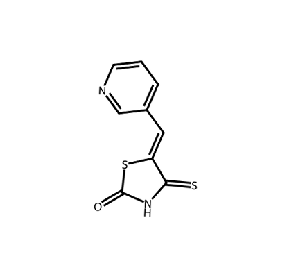 O=C1NC(=S)C(=Cc2cccnc2)S1